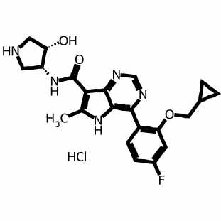 Cc1[nH]c2c(-c3ccc(F)cc3OCC3CC3)ncnc2c1C(=O)N[C@@H]1CNC[C@@H]1O.Cl